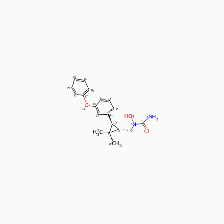 CC1(C)[C@@H](CN(O)C(N)=O)[C@@H]1c1cccc(Oc2ccccc2)c1